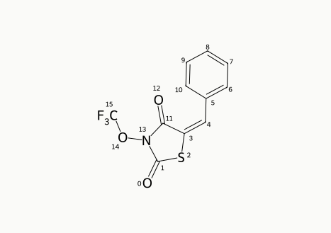 O=C1SC(=Cc2ccccc2)C(=O)N1OC(F)(F)F